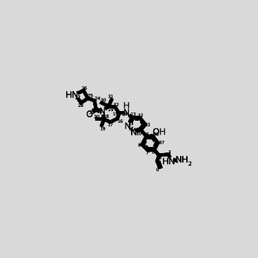 C=CC(CNN)c1ccc(-c2ccc(NC3CCC(C)(C)N(C(=O)CC4CNC4)C(C)(C)C3)nn2)c(O)c1